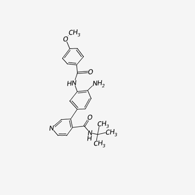 COc1ccc(C(=O)Nc2cc(-c3cnccc3C(=O)NC(C)(C)C)ccc2N)cc1